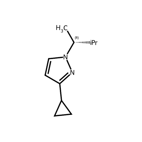 CC(C)[C@@H](C)n1ccc(C2CC2)n1